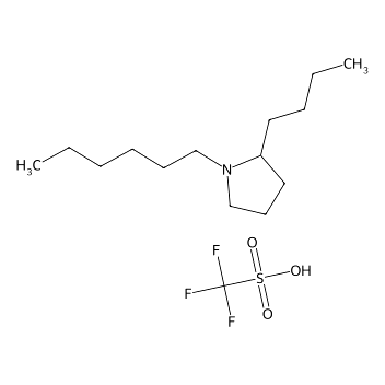 CCCCCCN1CCCC1CCCC.O=S(=O)(O)C(F)(F)F